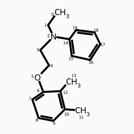 CCN(CCOc1cccc(C)c1C)c1ccccc1